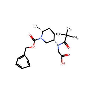 C[C@@H]1CC[C@H](N(CC(=O)O)C(=O)C(C)(C)C)CN1C(=O)OCc1ccccc1